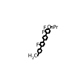 C=CC1CC=C(c2ccc(-c3ccc(-c4ccc(OCCC)c(F)c4F)cc3)cc2F)CC1